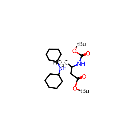 C1CCC(NC2CCCCC2)CC1.CC(C)(C)OC(=O)CC(NC(=O)OC(C)(C)C)C(=O)O